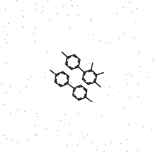 Cc1ccc(-c2ccc(C)c(C)c2C)cc1.Cc1ccc(-c2ccc(C)cc2)cc1